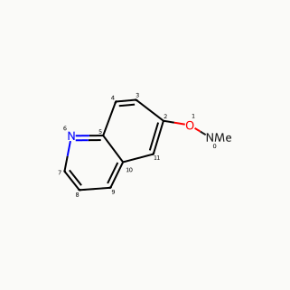 CNOc1ccc2ncccc2c1